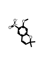 COc1cc2c(cc1[N+](=O)[O-])C=CC(C)(C)O2